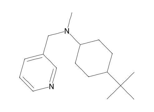 CN(Cc1cccnc1)C1CCC(C(C)(C)C)CC1